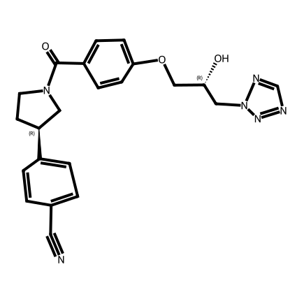 N#Cc1ccc([C@H]2CCN(C(=O)c3ccc(OC[C@H](O)Cn4ncnn4)cc3)C2)cc1